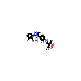 Cc1cccc(-c2nc(C)c(-c3ccc(NCc4c(C)noc4C)cc3)[nH]2)c1C